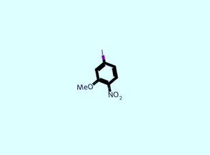 COc1cc(I)ccc1[N+](=O)[O-]